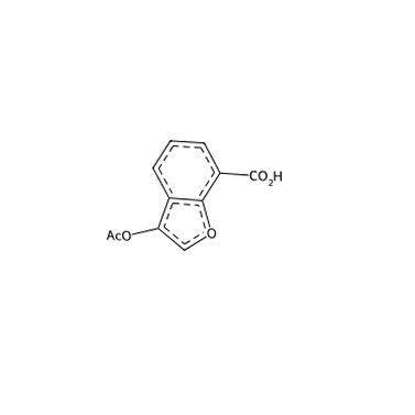 CC(=O)Oc1coc2c(C(=O)O)cccc12